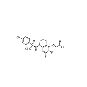 O=C(O)COc1c(F)c(F)cc2c1CCCC2NS(=O)(=O)c1ccc(Cl)cc1Cl